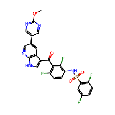 COc1ncc(-c2cnc3[nH]cc(C(=O)c4c(F)ccc(NS(=O)(=O)c5cc(F)ccc5F)c4F)c3c2)cn1